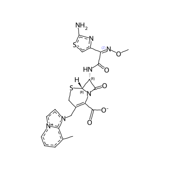 CO/N=C(\C(=O)N[C@@H]1C(=O)N2C(C(=O)[O-])=C(Cn3cc[n+]4cccc(C)c34)CS[C@H]12)c1csc(N)n1